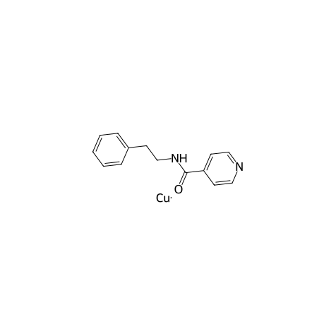 O=C(NCCc1ccccc1)c1ccncc1.[Cu]